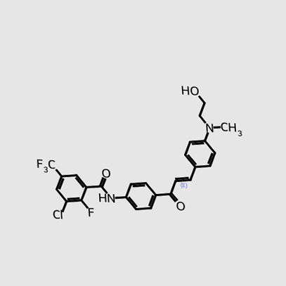 CN(CCO)c1ccc(/C=C/C(=O)c2ccc(NC(=O)c3cc(C(F)(F)F)cc(Cl)c3F)cc2)cc1